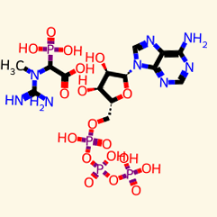 CN(C(=N)N)C(C(=O)O)P(=O)(O)O.Nc1ncnc2c1ncn2[C@@H]1O[C@H](COP(=O)(O)OP(=O)(O)OP(=O)(O)O)[C@@H](O)[C@H]1O